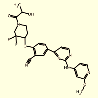 COc1cc(Nc2nccc(-c3ccc(OC4CCN(C(=O)C(C)O)CC4(F)F)c(C#N)c3)n2)ccn1